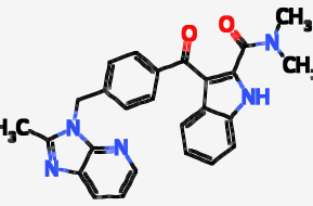 Cc1nc2cccnc2n1Cc1ccc(C(=O)c2c(C(=O)N(C)C)[nH]c3ccccc23)cc1